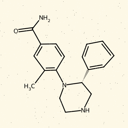 Cc1cc(C(N)=O)ccc1N1CCNC[C@H]1c1ccccc1